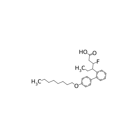 CCCCCCCCOc1ccc(-c2ccccc2C(CC)C(F)CC(=O)O)cc1